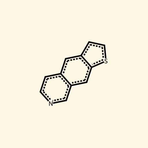 c1cc2cc3ccsc3cc2cn1